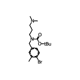 Cc1cc(CN(CCCN(C)C)C(=O)OC(C)(C)C)ccc1Br